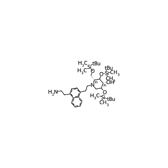 CC(C)(C)[Si](C)(C)OC[C@@H]1C(O[Si](C)(C)C(C)(C)C)[C@H](O)C(O[Si](C)(C)C(C)(C)C)CN1CCc1ccc(CCN)c2ccccc12